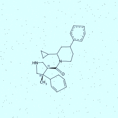 C[C@@]1(C2C=CC=CC2)CNC[C@H]1C(=O)N1CCC(c2ccccc2)CC1C1CC1